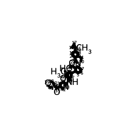 Cn1cc(-c2cccc(N3CCc4cc(C5(C)CC5)ccc4C3=O)c2CO)cc(Nc2ccc(C(=O)N3CCOCC3)cn2)c1=O